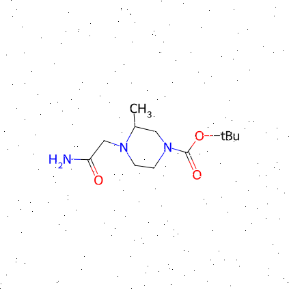 CC1CN(C(=O)OC(C)(C)C)CCN1CC(N)=O